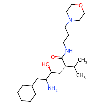 CC(C)[C@H](C[C@H](O)C(N)CC1CCCCC1)C(=O)NCCCN1CCOCC1